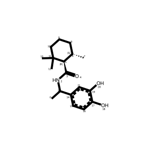 CC(NC(=O)[C@@H]1[C@@H](C)CCCC1(C)C)c1ccc(O)c(O)c1